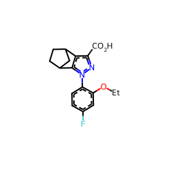 CCOc1cc(F)ccc1-n1nc(C(=O)O)c2c1C1CCC2C1